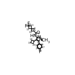 Cn1nc(NC(=O)C2CC3(C2)CC(F)(F)C3)c(C2CCC2)c1-c1ccc(F)cc1